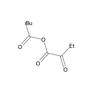 CCC(=O)C(=O)OC(=O)C(C)CC